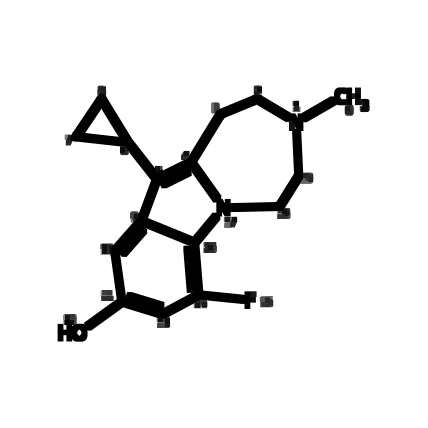 CN1CCc2c(C3CC3)c3cc(O)cc(F)c3n2CC1